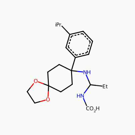 CCC(NC(=O)O)NC1(c2cccc(C(C)C)c2)CCC2(CC1)OCCO2